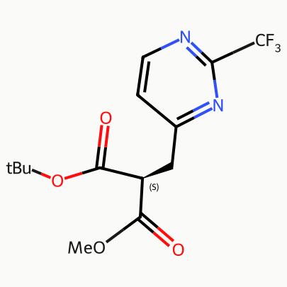 COC(=O)[C@H](Cc1ccnc(C(F)(F)F)n1)C(=O)OC(C)(C)C